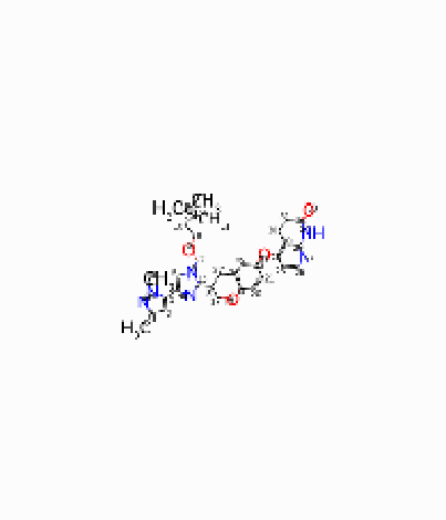 Cc1cc(-c2cn(COCC[Si](C)(C)C)c(C3COc4ccc(Oc5ccnc6c5CCC(=O)N6)cc4C3)n2)n(C)n1